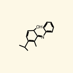 CC1=C(C(C)C)C=CC(O)C1=Nc1ccccc1